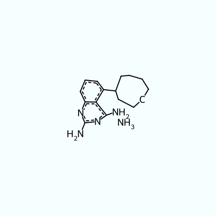 N.Nc1nc(N)c2c(C3CCCCCCC3)cccc2n1